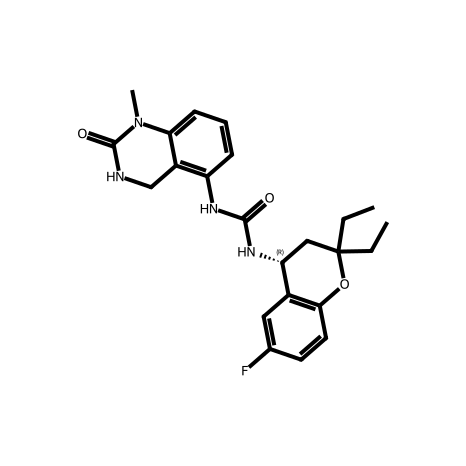 CCC1(CC)C[C@@H](NC(=O)Nc2cccc3c2CNC(=O)N3C)c2cc(F)ccc2O1